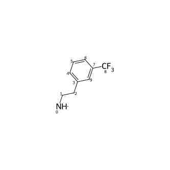 [NH]CCc1cccc(C(F)(F)F)c1